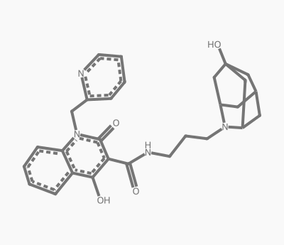 O=C(NCCCN1C2CC3CC1CC(O)(C3)C2)c1c(O)c2ccccc2n(Cc2ccccn2)c1=O